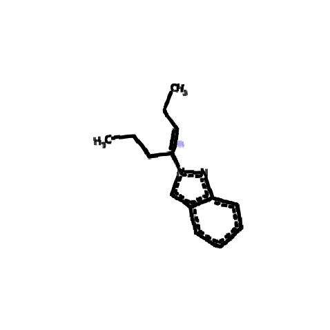 CC/C=C(\CCC)n1cc2ccccc2n1